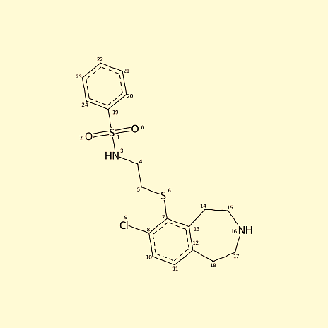 O=S(=O)(NCCSc1c(Cl)ccc2c1CCNCC2)c1ccccc1